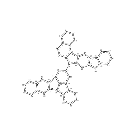 c1ccc2c(c1)ccc1c2c2cc3c(cc2n1-c1cc2c4ccccc4n4c5nc6ccccc6nc5c(c1)c24)sc1ccccc13